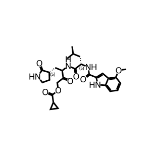 COc1cccc2[nH]c(C(=O)N[C@@H](CC(C)C)C(=O)NC(C[C@@H]3CCNC3=O)C(=O)COC(=O)C3CC3)cc12